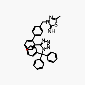 Cc1nn(Cc2ccc(-c3ccccc3-c3nnnn3C(c3ccccc3)(c3ccccc3)c3ccccc3)cc2)c(=N)s1